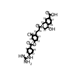 N=C(N)Nc1ccc(C(=O)Oc2ccc(CCC(=O)N(CCO)Cc3cccc(C(=O)O)c3)c(Cl)c2)cc1